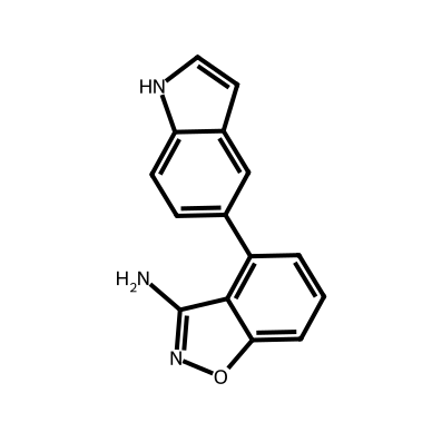 Nc1noc2cccc(-c3ccc4[nH]ccc4c3)c12